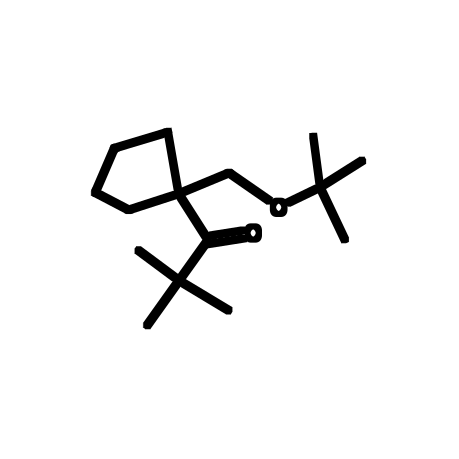 CC(C)(C)OCC1(C(=O)C(C)(C)C)CCCC1